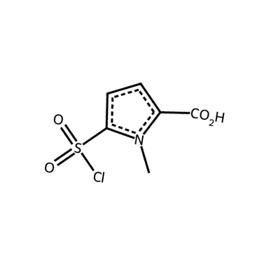 Cn1c(C(=O)O)ccc1S(=O)(=O)Cl